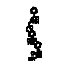 CCCn1nnn(-c2cccc(NS(=O)(=O)c3ccc4c(c3)CCC(CNCC(O)c3ccccc3)O4)c2)c1=O